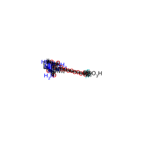 CCN/C(=C\C(C)=N)C(=O)Nc1nc2cc(C(N)=O)cc(OC)c2n1CCCCn1c(NC(=O)/C(=C/C(C)=N)NCC)nc2cc(C(N)=O)cc(OCCCN3CCN(C(=O)OCCOCCOCCOCCOCCOCCOCCC(=O)Oc4c(F)c(F)c(S(=O)(=O)O)c(F)c4F)CC3)c21